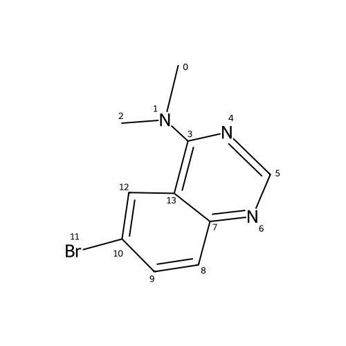 CN(C)c1ncnc2ccc(Br)cc12